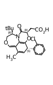 CC1=C[C@@H](c2ccccc2Cl)C2=C3C1=COC[C@@H](C(C)(C)C)N3C(=O)[C@@H](CC(=O)O)O2